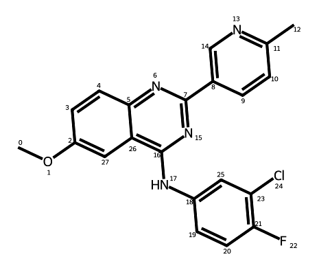 COc1ccc2nc(-c3ccc(C)nc3)nc(Nc3ccc(F)c(Cl)c3)c2c1